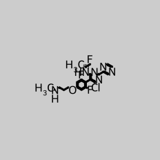 CNCCCOc1cc(F)c(-c2c(Cl)nc(-c3cnccn3)nc2N[C@H](C)CF)c(F)c1